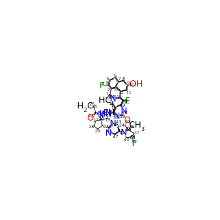 C#Cc1c(F)ccc2cc(O)cc(-c3ncc4c(NCC5(N(C)C(=O)C=C)CCCC5)nc(OC[C@]5(C)C[C@@H](F)CN5c5cncnc5)nc4c3F)c12